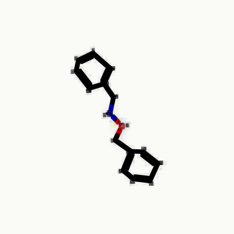 c1ccc(C[N]OCc2ccccc2)cc1